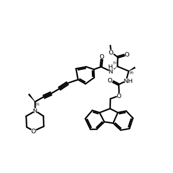 COC(=O)[C@@H](NC(=O)c1ccc(C#CC#C[C@H](C)N2CCOCC2)cc1)[C@@H](C)NC(=O)OCC1c2ccccc2-c2ccccc21